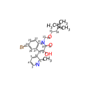 Cc1ncccc1-c1c(O)c(=O)n(COCC[Si](C)(C)C)c2ccc(Br)cc12